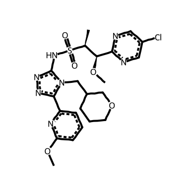 COc1cccc(-c2nnc(NS(=O)(=O)[C@@H](C)[C@H](OC)c3ncc(Cl)cn3)n2CC2CCCOC2)n1